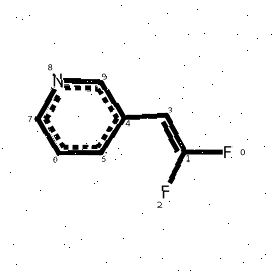 FC(F)=Cc1[c]ccnc1